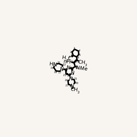 C=C1CCCCC1/C(C)=C(\CCC)C(NC)c1nc(N2CCCNCC2)cc(N2CCN(C)CC2)n1